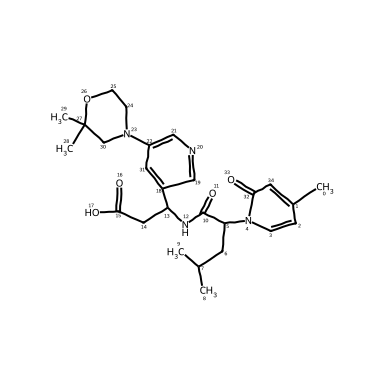 Cc1ccn(C(CC(C)C)C(=O)NC(CC(=O)O)c2cncc(N3CCOC(C)(C)C3)c2)c(=O)c1